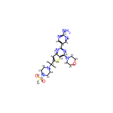 CC(C)(c1cc2nc(-c3cnc(N)nc3)nc(N3CCOCC3)c2s1)N1CCN(S(C)(=O)=O)CC1